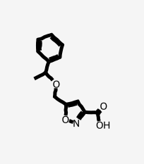 CC(OCc1cc(C(=O)O)no1)c1ccccc1